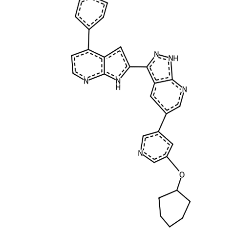 c1cc(-c2ccnc3[nH]c(-c4n[nH]c5ncc(-c6cncc(OC7CCCCC7)c6)cc45)cc23)ccn1